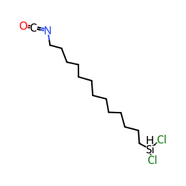 O=C=NCCCCCCCCCCCCC[SiH](Cl)Cl